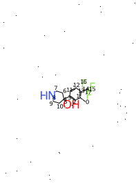 Cc1cc(C2(O)CCNCC2)ccc1C(F)(F)F